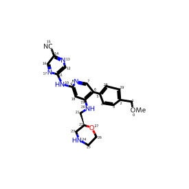 COCc1ccc(-c2cnc(Nc3cnc(C#N)cn3)cc2NC[C@@H]2CNCCO2)cc1